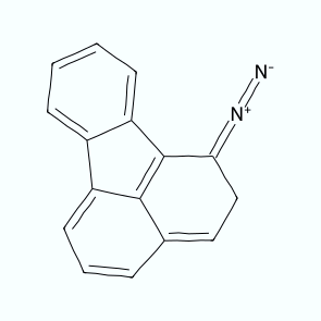 [N-]=[N+]=C1CC=c2cccc3c2=C1c1ccccc1-3